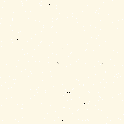 Cc1nc(NCCc2cccc(C(F)(F)C(C)(C)O)c2F)c2cc3c(cc2n1)N(C)C(=O)C3(C)C